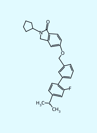 CI(C)c1ccc(-c2cccc(COc3ccc4c(c3)CN(C3CCCC3)C4=O)c2)c(F)c1